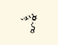 CCn1cc2ncc(N[C@@H](C)c3cc(NC(=O)Cc4ccc5c(n4)CCC5)ccc3C)nc2n1